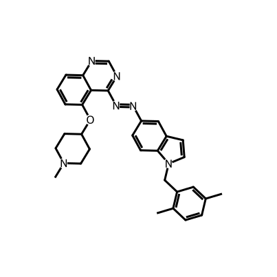 Cc1ccc(C)c(Cn2ccc3cc(N=Nc4ncnc5cccc(OC6CCN(C)CC6)c45)ccc32)c1